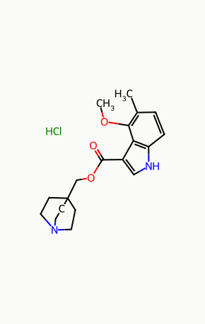 COc1c(C)ccc2[nH]cc(C(=O)OCC34CCN(CC3)CC4)c12.Cl